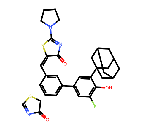 O=C1CSC=N1.O=C1N=C(N2CCCC2)SC1=Cc1cccc(-c2cc(F)c(O)c(C34CC5CC(CC(C5)C3)C4)c2)c1